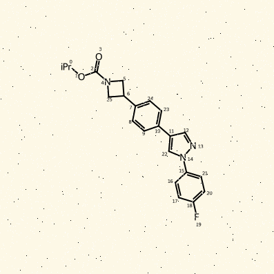 CC(C)OC(=O)N1CC(c2ccc(-c3cnn(-c4ccc(F)cc4)c3)cc2)C1